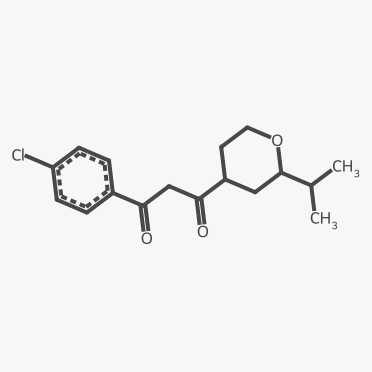 CC(C)C1CC(C(=O)CC(=O)c2ccc(Cl)cc2)CCO1